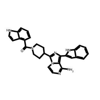 Nc1nccn2c(C3CCN(C(=O)c4cccc5[nH]ccc45)CC3)nc(-c3cc4ccccc4[nH]3)c12